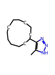 Cc1[nH]nnc1C1CCCCCCCCCCC1